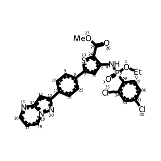 CCOP(=O)(Nc1cc(-c2ccc(-c3cc4ncccn4n3)cc2)sc1C(=O)OC)c1ccc(Cl)cc1Cl